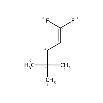 CC(C)(C)CC=C(F)F